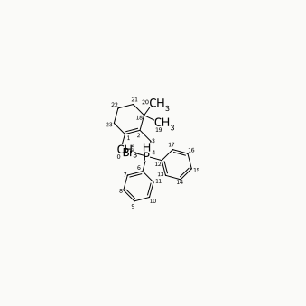 CC1=C(C[PH](Br)(c2ccccc2)c2ccccc2)C(C)(C)CCC1